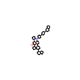 c1ccc(N(c2ccc(-c3ccc(-c4ccc5ccccc5c4)cc3)cc2)c2ccc(-c3ccc(-c4cccc5ccccc45)cc3)cc2)c(-c2ccc3c(c2)oc2ccccc23)c1